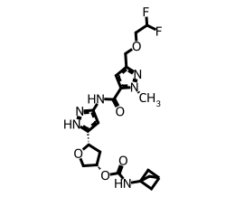 Cn1nc(COCC(F)F)cc1C(=O)Nc1cc([C@@H]2C[C@H](OC(=O)NC34CC(C3)C4)CO2)[nH]n1